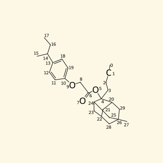 CCCCC1(OC(=O)COc2ccc(C(C)CC)cc2)C2CC3CC1CC(C)(C3)C2